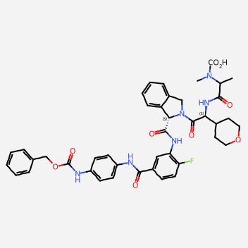 CC(C(=O)N[C@H](C(=O)N1Cc2ccccc2[C@H]1C(=O)Nc1cc(C(=O)Nc2ccc(NC(=O)OCc3ccccc3)cc2)ccc1F)C1CCOCC1)N(C)C(=O)O